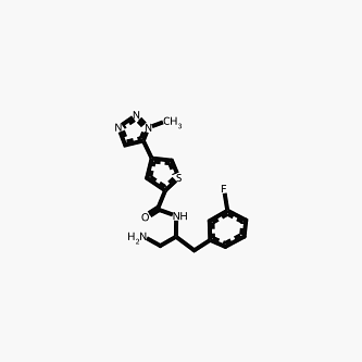 Cn1nncc1-c1csc(C(=O)NC(CN)Cc2cccc(F)c2)c1